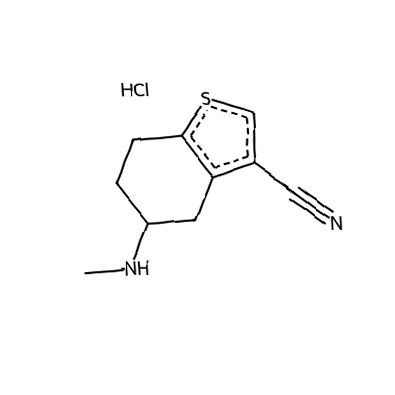 CNC1CCc2scc(C#N)c2C1.Cl